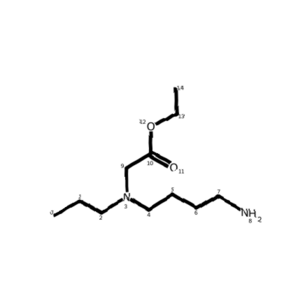 CCCN(CCCCN)CC(=O)OCC